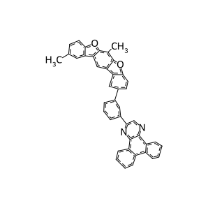 Cc1ccc2oc3c(C)c4oc5ccc(-c6cccc(-c7cnc8c9ccccc9c9ccccc9c8n7)c6)cc5c4cc3c2c1